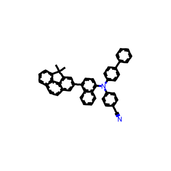 CC1(C)c2cccc3ccc4cc(-c5ccc(N(c6ccc(C#N)cc6)c6ccc(-c7ccccc7)cc6)c6ccccc56)cc1c4c23